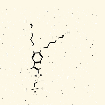 Cc1c(S(=O)(=O)NCP(=O)(O)O)sc2cc(OCCCNC=N)c(OCCCNC=N)cc12